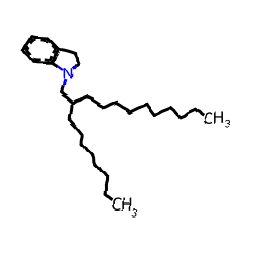 CCCCCCCCCCC(CCCCCCCC)CN1CCc2ccccc21